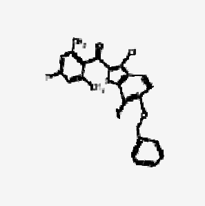 Cc1cc(F)cc(C)c1C(=O)c1sc2c(F)c(OCc3ccccc3)ccc2c1Cl